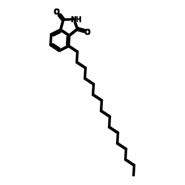 CCCCCCCCCCCCCCCCc1cccc2c1C(=O)NC2=O